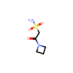 NS(=O)(=O)CC(=O)N1CCC1